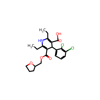 CCC1=C(C(=O)O)C(c2cccc(Cl)c2Cl)C(C(=O)OCC2CCCO2)=C(CC)N1